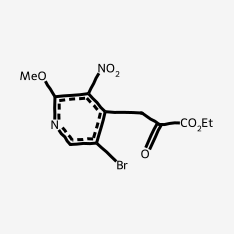 CCOC(=O)C(=O)Cc1c(Br)cnc(OC)c1[N+](=O)[O-]